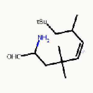 CC(/C=C\C(C)(C)CC(N)C=O)CC(C)(C)C